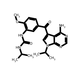 COc1ccc(C(=O)c2cn(C(C)C)c3ncnc(N)c23)cc1NC(=O)NC(C)C